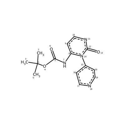 CC(C)(C)OC(=O)Nc1ccnc(=O)n1-c1ccncc1